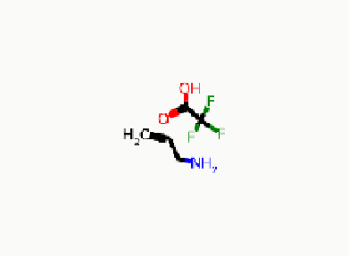 C=CCN.O=C(O)C(F)(F)F